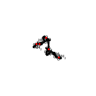 COc1cc2c(cc1OCCCCCOc1cc3c(cc1OC)C(=O)N1CCC[C@H]1C(O)N3C(=O)OCc1ccc(NC(=O)[C@H](C)NC(=O)[C@@H](N)C(C)C)cc1)N(C(=O)OCc1ccc(NC(=O)[C@H](C)NC(=O)[C@@H](N)C(C)C)cc1)C(O)[C@@H]1CCCN1C2=O